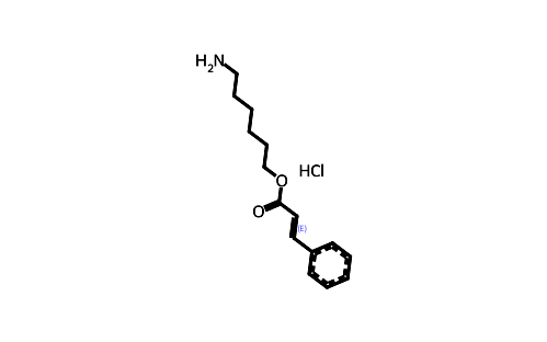 Cl.NCCCCCCOC(=O)/C=C/c1ccccc1